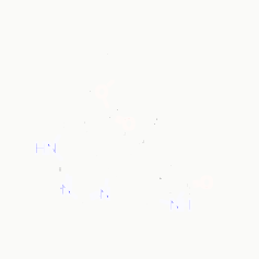 CCOC(=O)c1c[nH]c2ncnc(-c3cccc4c3CNC4=O)c12